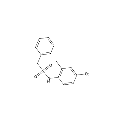 CCc1ccc(NS(=O)(=O)Cc2ccccc2)c(C)c1